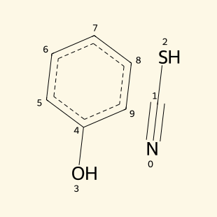 N#CS.Oc1ccccc1